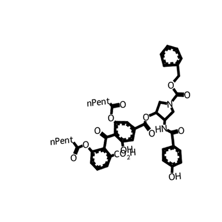 CCCCCC(=O)Oc1cc(C(=O)OC2CN(C(=O)OCc3ccccc3)CC2NC(=O)c2ccc(O)cc2)cc(O)c1C(=O)c1c(OC(=O)CCCCC)cccc1C(=O)O